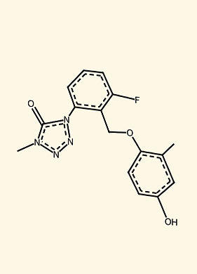 Cc1cc(O)ccc1OCc1c(F)cccc1-n1nnn(C)c1=O